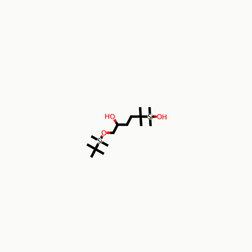 CC(C)(CCC(O)CO[Si](C)(C)C(C)(C)C)[Si](C)(C)O